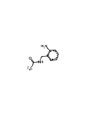 Nc1ccccc1CNC(=O)C(F)(F)F